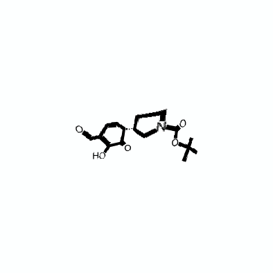 CC(C)(C)OC(=O)N1CC[C@@H](C2C=CC(C=O)=C(O)C2=O)C1